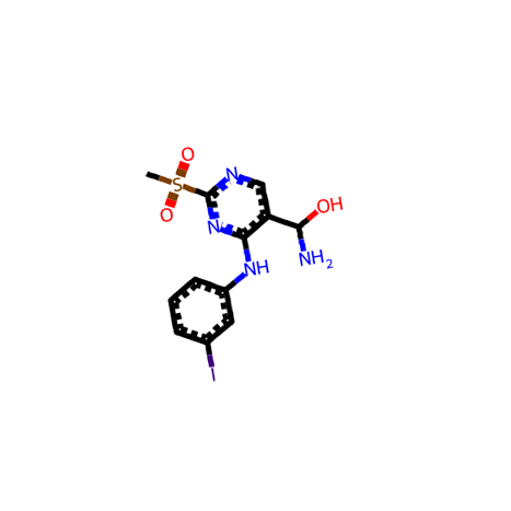 CS(=O)(=O)c1ncc(C(N)O)c(Nc2cccc(I)c2)n1